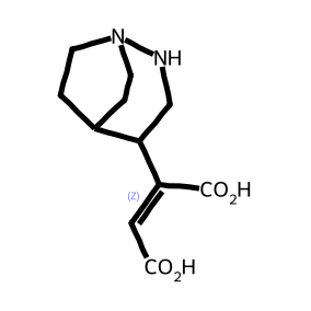 O=C(O)/C=C(\C(=O)O)C1CNN2CCC1CC2